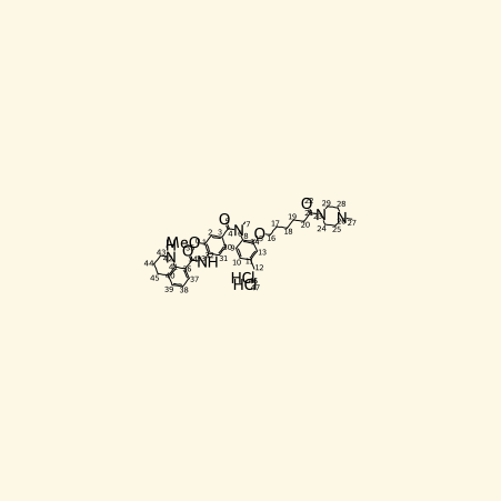 COc1cc(C(=O)N(C)c2ccc(C)cc2OCCCCCC(=O)N2CCN(C)CC2)ccc1NC(=O)c1cccc2c1NCCC2.Cl.Cl